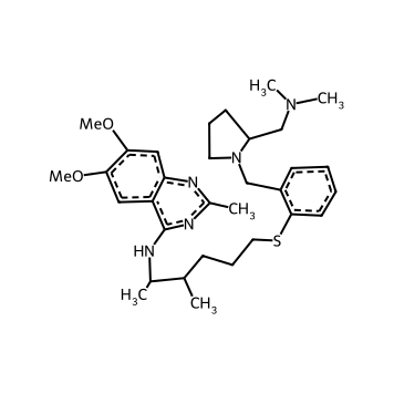 COc1cc2nc(C)nc(NC(C)C(C)CCCSc3ccccc3CN3CCCC3CN(C)C)c2cc1OC